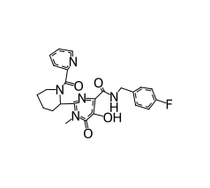 Cn1c(C2CCCCN2C(=O)c2ccccn2)nc(C(=O)NCc2ccc(F)cc2)c(O)c1=O